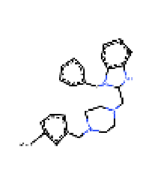 COc1cccc(CN2CCN(CC3Nc4ccccc4N3Cc3ccccc3)CC2)c1